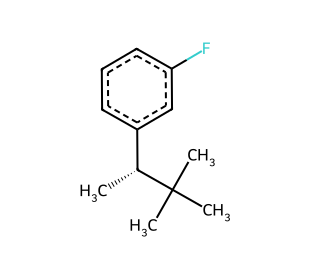 C[C@H](c1cccc(F)c1)C(C)(C)C